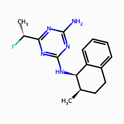 C[C@@H]1CCc2ccccc2[C@@H]1Nc1nc(N)nc([C@@H](C)F)n1